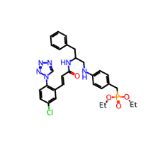 CCOP(=O)(Cc1ccc(NCC(Cc2ccccc2)NC(=O)C=Cc2cc(Cl)ccc2-n2cnnn2)cc1)OCC